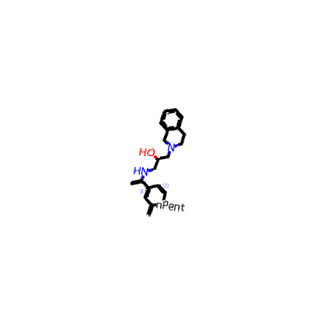 C=C(/C=C(\C=C/C)C(=C)NCC(O)CN1CCc2ccccc2C1)CCCCC